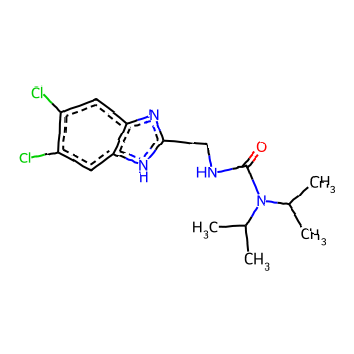 CC(C)N(C(=O)NCc1nc2cc(Cl)c(Cl)cc2[nH]1)C(C)C